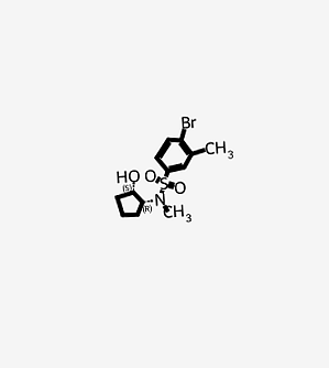 Cc1cc(S(=O)(=O)N(C)[C@@H]2CCC[C@@H]2O)ccc1Br